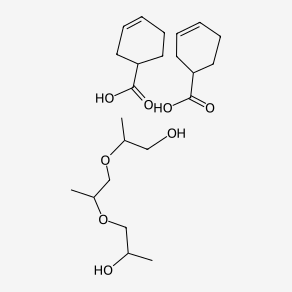 CC(O)COC(C)COC(C)CO.O=C(O)C1CC=CCC1.O=C(O)C1CC=CCC1